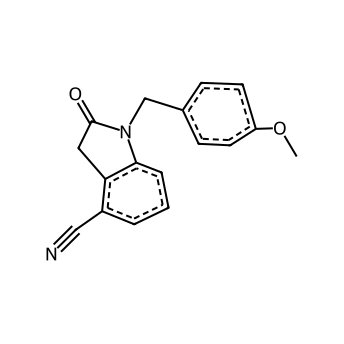 COc1ccc(CN2C(=O)Cc3c(C#N)cccc32)cc1